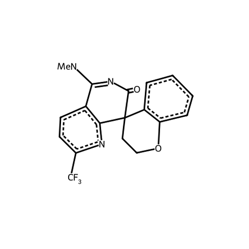 CNC1=NC(=O)C2(CCOc3ccccc32)c2nc(C(F)(F)F)ccc21